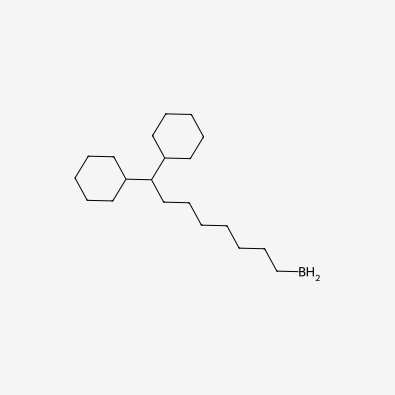 BCCCCCCCC(C1CCCCC1)C1CCCCC1